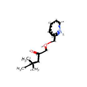 CC(C)(C)CC(=O)COCc1ccccn1